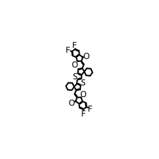 O=C1C(=CC2=Cc3sc4c5c(sc4c3C23CCCCC3)C=C(C=C2C(=O)c3cc(F)c(F)cc3C2=O)C52CCCCC2)C(=O)c2cc(F)c(F)cc21